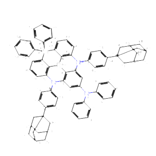 c1ccc(N(c2ccccc2)c2cc3c4c(c2)N(c2ccc(C56CC7CC(CC(C7)C5)C6)cc2)c2cccc5c2B4c2c(cccc2[Si]5(c2ccccc2)c2ccccc2)N3c2ccc(C34CC5CC(CC(C5)C3)C4)cc2)cc1